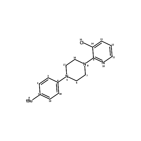 CC(C)(C)c1ccc(N2CCN(c3ncccc3Cl)CC2)cc1